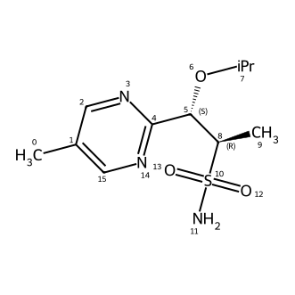 Cc1cnc([C@H](OC(C)C)[C@@H](C)S(N)(=O)=O)nc1